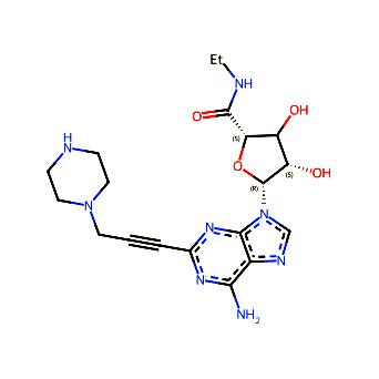 CCNC(=O)[C@H]1O[C@@H](n2cnc3c(N)nc(C#CCN4CCNCC4)nc32)[C@@H](O)C1O